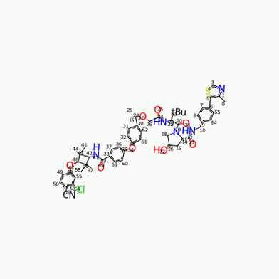 Cc1ncsc1-c1ccc(CNC(=O)[C@@H]2C[C@@H](O)CN2C(=O)[C@@H](NC(=O)CO[C@@H](C)c2ccc(Oc3ccc(C(=O)N[C@H]4C(C)(C)[C@H](Oc5ccc(C#N)c(Cl)c5)C4(C)C)cc3)cc2)C(C)(C)C)cc1